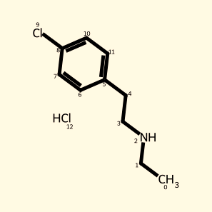 CCNCCc1ccc(Cl)cc1.Cl